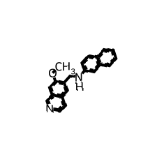 COc1cc2cnccc2cc1CNc1ccc2ccccc2c1